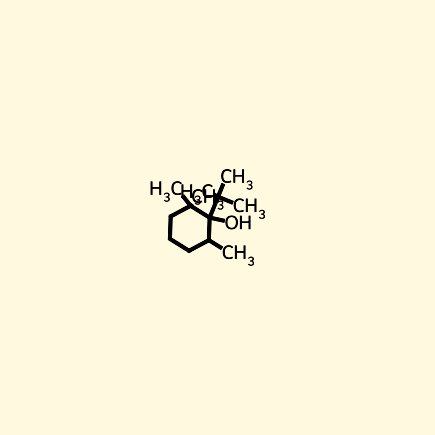 CC1CCCC(C)(C)C1(O)C(C)(C)C